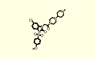 COc1ccc(S(=O)(=O)n2c(=O)n(CC(=O)N3CCN(C4CCN(C)CC4)CC3)c3cc(Cl)ccc32)cc1